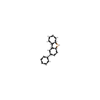 c1ccc(-c2ccc3sc4ccccc4c3c2)cc1